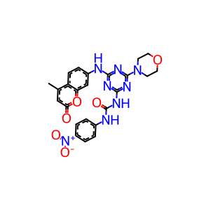 Cc1cc(=O)oc2cc(Nc3nc(NC(=O)Nc4ccc([N+](=O)[O-])cc4)nc(N4CCOCC4)n3)ccc12